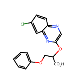 O=C(O)C(COc1ccccc1)Oc1cnc2ccc(Cl)cc2n1